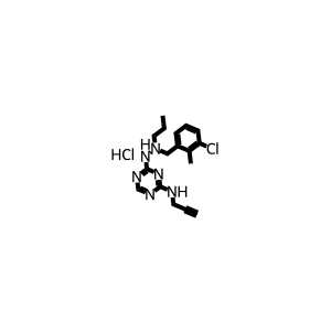 C#CCNc1ncnc(NN(CCC)Cc2cccc(Cl)c2C)n1.Cl